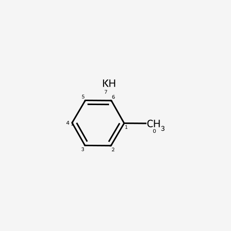 Cc1cc[c]cc1.[KH]